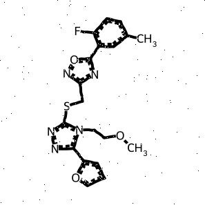 COCCn1c(SCc2noc(-c3cc(C)ccc3F)n2)nnc1-c1ccco1